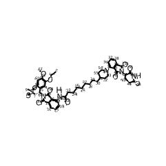 CCOc1cc([C@@H](CS(C)(=O)=O)N2C(=O)c3cccc(NC(=O)CCCCCCCCC4CCN(c5cccc6c5C(=O)N([C@H]5CCC(=O)NC5=O)C6=O)CC4)c3C2=O)ccc1OC